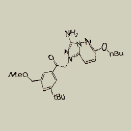 CCCCOc1ccc2n(n1)c(N)n[n+]2CC(=O)c1cc(COC)cc(C(C)(C)C)c1